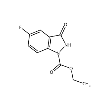 CCOC(=O)n1[nH]c(=O)c2cc(F)ccc21